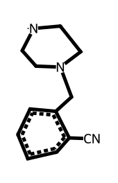 N#Cc1ccccc1CN1CC[N]CC1